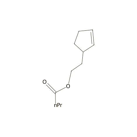 CCCC(=O)OCCC1C=CCC1